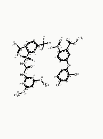 COC(=O)c1cc(Oc2ccc(Cl)cc2Cl)ccc1[N+](=O)[O-].COc1cc(OC)nc(NC(=O)NS(=O)(=O)c2nc(C(F)(F)F)ccc2C(=O)O)n1